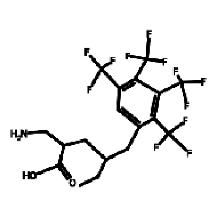 CCC(Cc1cc(C(F)(F)F)c(C(F)(F)F)c(C(F)(F)F)c1C(F)(F)F)CC(CN)C(=O)O